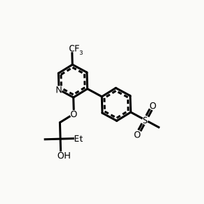 CCC(C)(O)COc1ncc(C(F)(F)F)cc1-c1ccc(S(C)(=O)=O)cc1